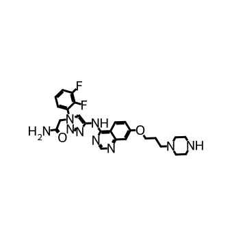 NC(=O)C[N+]1(c2cccc(F)c2F)C=C(Nc2ncnc3cc(OCCCN4CCNCC4)ccc23)N=N1